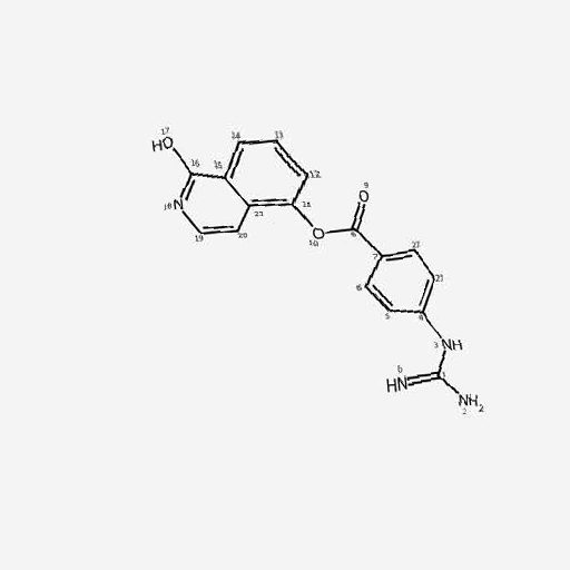 N=C(N)Nc1ccc(C(=O)Oc2cccc3c(O)nccc23)cc1